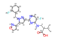 CC(C)C(CN(C)c1nc(-c2cc(-c3ccon3)n(Cc3ccccc3F)n2)ncc1F)C(=O)O